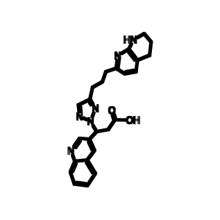 O=C(O)CC(c1cnc2ccccc2c1)n1ncc(CCCc2ccc3c(n2)NCCC3)n1